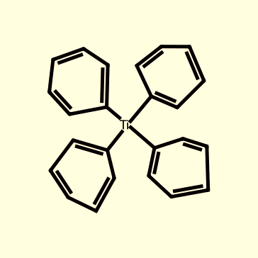 c1cc[c]([Ti]([c]2ccccc2)([c]2ccccc2)[c]2ccccc2)cc1